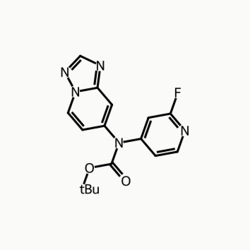 CC(C)(C)OC(=O)N(c1ccnc(F)c1)c1ccn2ncnc2c1